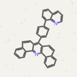 c1cnc2c(-c3ccc(-c4c5ccc6ccccc6c5nc5c4ccc4ccccc45)cc3)cccc2c1